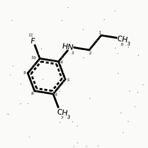 CCCNc1cc(C)ccc1F